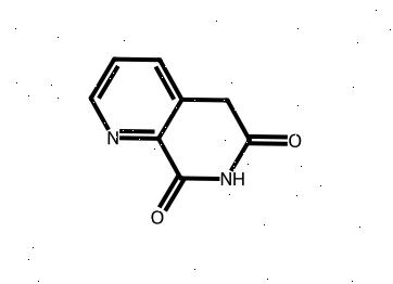 O=C1Cc2cccnc2C(=O)N1